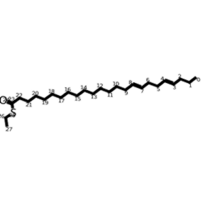 CCC/C=C/CC/C=C/CCCCCCCCCCCCCCC(=O)SCC